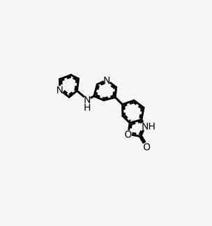 O=c1[nH]c2ccc(-c3cncc(Nc4cccnc4)c3)cc2o1